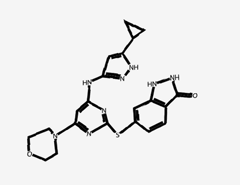 O=c1[nH][nH]c2cc(Sc3nc(Nc4cc(C5CC5)[nH]n4)cc(N4CCOCC4)n3)ccc12